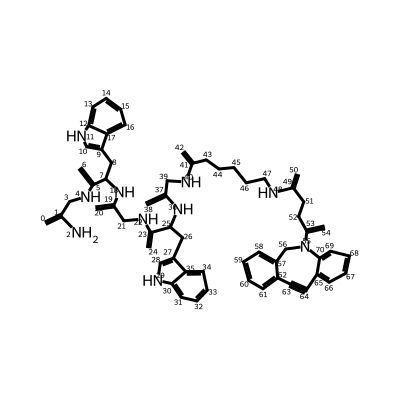 C=C(N)CNC(=C)C(Cc1c[nH]c2ccccc12)NC(=C)CNC(=C)C(Cc1c[nH]c2ccccc12)NC(=C)CNC(=C)CCCCCNC(=C)CCC(=C)N1Cc2ccccc2C#Cc2ccccc21